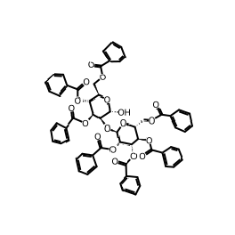 O=C(OC[C@H]1O[C@H](O[C@H]2[C@@H](OC(=O)c3ccccc3)[C@H](OC(=O)c3ccccc3)[C@@H](COC(=O)c3ccccc3)O[C@@H]2O)[C@@H](OC(=O)c2ccccc2)[C@@H](OC(=O)c2ccccc2)[C@@H]1OC(=O)c1ccccc1)c1ccccc1